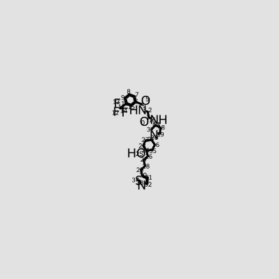 O=C(CNC(=O)c1cccc(C(F)(F)F)c1)N[C@@H]1CCN(C2CCC(O)(CCCCc3ccns3)CC2)C1